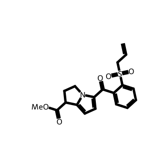 C=CCS(=O)(=O)c1ccccc1C(=O)c1ccc2n1CCC2C(=O)OC